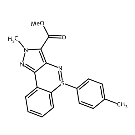 COC(=O)c1c2c(nn1C)-c1ccccc1S(c1ccc(C)cc1)=N2